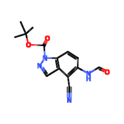 CC(C)(C)OC(=O)n1ncc2c(C#N)c(NC=O)ccc21